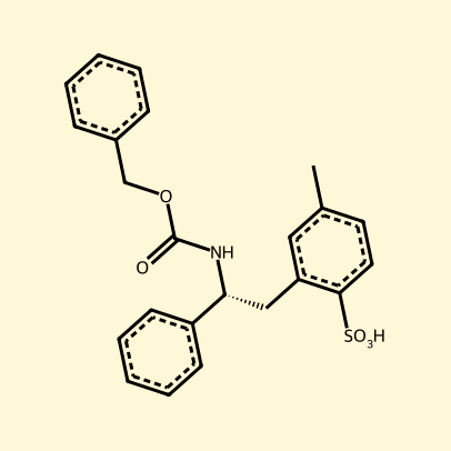 Cc1ccc(S(=O)(=O)O)c(C[C@@H](NC(=O)OCc2ccccc2)c2ccccc2)c1